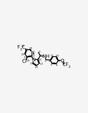 CC(NCc1ccc(OC(F)(F)F)cc1)c1cccn1-c1ncc(C(F)(F)F)cc1Cl